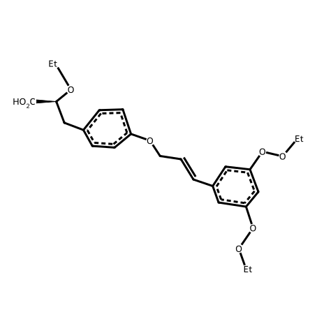 CCOOc1cc(C=CCOc2ccc(C[C@H](OCC)C(=O)O)cc2)cc(OOCC)c1